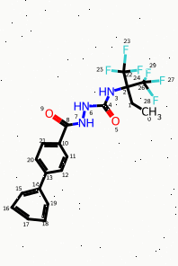 CCC(NC(=O)NNC(=O)c1ccc(-c2ccccc2)cc1)(C(F)(F)F)C(F)(F)F